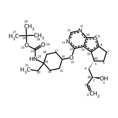 C=C[C@H](O)C[C@H]1CCc2sc3ncnc(OC4CCC(CC)(NC(=O)OC(C)(C)C)CC4)c3c21